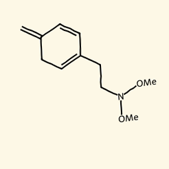 C=C1C=CC(CCN(OC)OC)=CC1